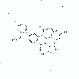 NC(=O)C1c2cc(-c3cccnc3CO)ccc2C(=O)N(C2COCC2O)C1c1ccc(Cl)cc1Cl